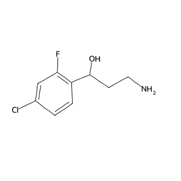 NCCC(O)c1ccc(Cl)cc1F